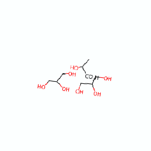 CC(O)C(=O)O.OCC(O)CO.OCC(O)CO